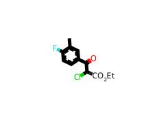 CCOC(=O)C(Cl)C(=O)c1ccc(F)c(C)c1